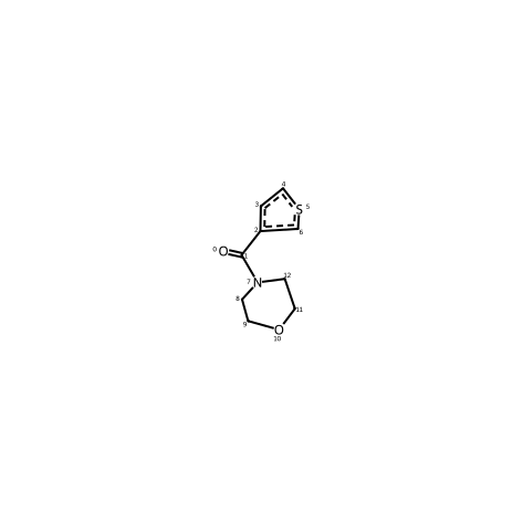 O=C(c1ccsc1)N1CCOCC1